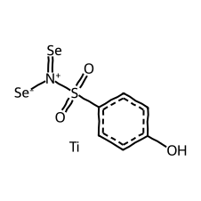 O=S(=O)(c1ccc(O)cc1)[N+](=[Se])[Se-].[Ti]